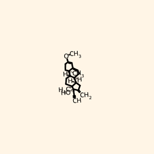 C#C[C@]1(O)C(=C)C[C@H]2[C@@H]3CC=C4C=C(OC)CC[C@]4(C)[C@H]3CC[C@@]21C